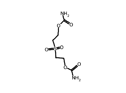 NC(=O)OCCS(=O)(=O)CCOC(N)=O